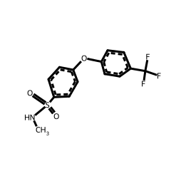 CNS(=O)(=O)c1ccc(Oc2ccc(C(F)(F)F)cc2)cc1